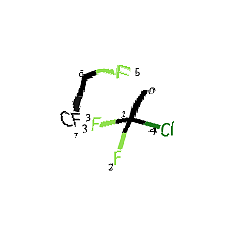 CC(F)(F)Cl.FCC(F)(F)F